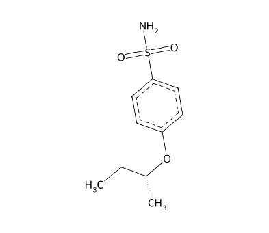 CC[C@@H](C)Oc1ccc(S(N)(=O)=O)cc1